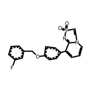 O=S1(=O)C=CN2C=CC=C(c3ccc(OCc4cccc(F)c4)cc3)C2=N1